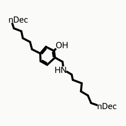 CCCCCCCCCCCCCCCCNCc1ccc(CCCCCCCCCCCCCCC)cc1O